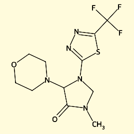 CN1CN(c2nnc(C(F)(F)F)s2)C(N2CCOCC2)C1=O